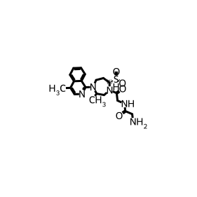 Cc1cnc(N2CC[C@H]([SH](=O)=O)N(C(=O)CNC(=O)CN)CC2C)c2ccccc12